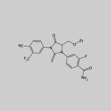 CCOCC1C(=O)N(c2ccc(C#N)c(C(F)(F)F)c2)C(=S)N1c1ccc(C(N)=O)c(F)c1